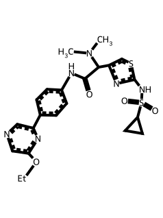 CCOc1cncc(-c2ccc(NC(=O)C(c3csc(NS(=O)(=O)C4CC4)n3)N(C)C)cc2)n1